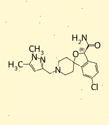 Cc1cc(CN2CCC3(CC2)O[C@@H](C(N)=O)c2ccc(Cl)cc23)nn1C